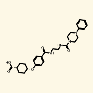 O=C(NCCNC(=O)N1CCN(c2ccccc2)CC1)c1ccc(O[C@H]2CC[C@@H](C(=O)O)CC2)cc1